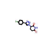 O=C1CCC(n2cc(-c3ccc(F)cc3)nn2)C(=O)N1